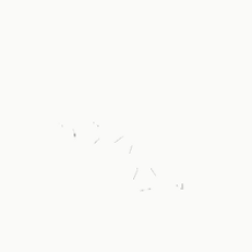 CNC(=O)C(NC(=O)c1ccc(-c2cccc(CN)c2)o1)C1CCOCC1